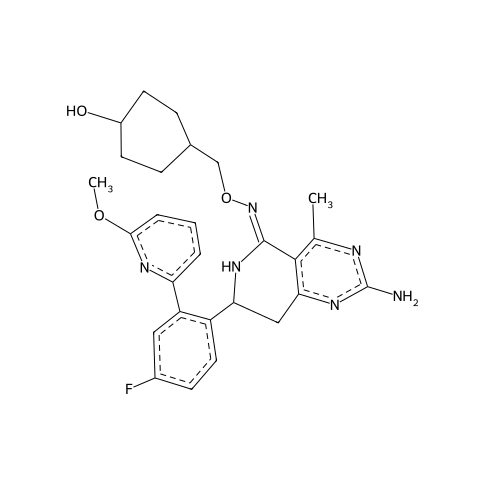 COc1cccc(-c2cc(F)ccc2C2Cc3nc(N)nc(C)c3C(=NOCC3CCC(O)CC3)N2)n1